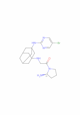 N[C@@H]1CCCN1C(=O)CNC12CC3CC(C1)CC(Nc1ncc(Br)cn1)(C3)C2